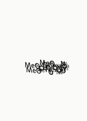 COc1ccc(CN2C(=O)C(C)=C(c3cc4ccc(=O)n(Cc5ccccn5)c4cc3OC)C2=O)cc1OC